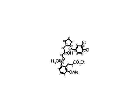 CCOC(=O)CCc1c(OC)cccc1[C@@H](C)OC[C@H](O)CN1CCC[C@H]1Cc1ccc(Cl)c(CC)c1